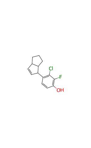 Oc1ccc(C2C=CC3CCCC32)c(Cl)c1F